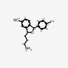 N#Cc1ccc2c(c1)C(CCCN)OC2c1ccc(F)cc1